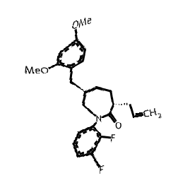 C=CC[C@H]1CC[C@H](Cc2ccc(OC)cc2OC)CN(c2cccc(F)c2F)C1=O